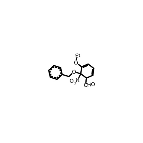 CCOC1=CC=CC(C=O)C1(OCc1ccccc1)[N+](=O)[O-]